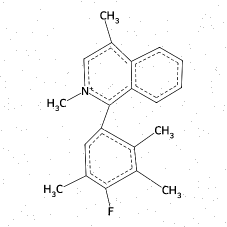 Cc1cc(-c2c3ccccc3c(C)c[n+]2C)c(C)c(C)c1F